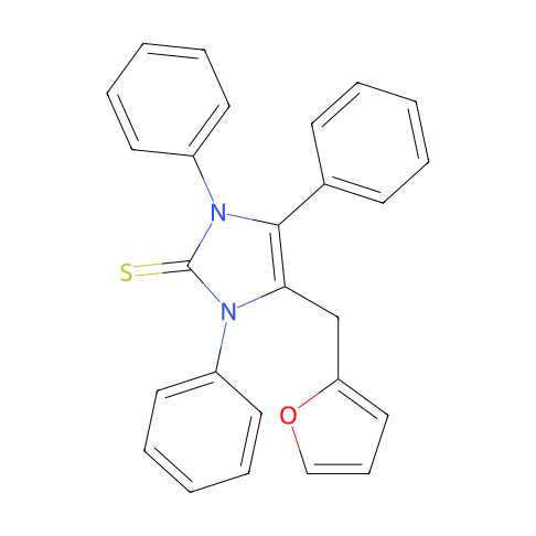 S=c1n(-c2ccccc2)c(Cc2ccco2)c(-c2ccccc2)n1-c1ccccc1